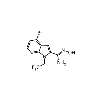 N/C(=N\O)c1cc2c(Br)cccc2n1CC(F)(F)F